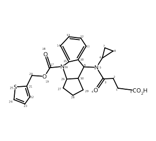 O=C(O)CCC(=O)N(C1CC1)C1c2ccccc2N(C(=O)OCc2cccs2)C2CCCC21